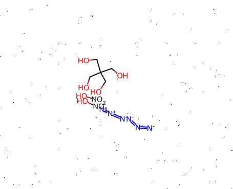 O=[N+]([O-])O.O=[N+]([O-])O.OCC(CO)(CO)CO.[N-]=[N+]=[N-].[N-]=[N+]=[N-]